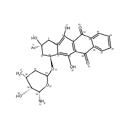 CC(=O)[C@]1(O)Cc2c(O)c3c(c(O)c2[C@@H](OC2C[C@@H](C)[C@@H](O)[C@@H](N)O2)C1)C(=O)c1ccccc1C3=O